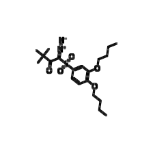 CCCCOc1ccc(S(=O)(=O)C(=[N+]=[N-])C(=O)C(C)(C)C)cc1OCCCC